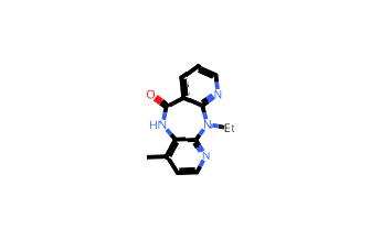 CCN1c2ncccc2C(=O)Nc2c(C)ccnc21